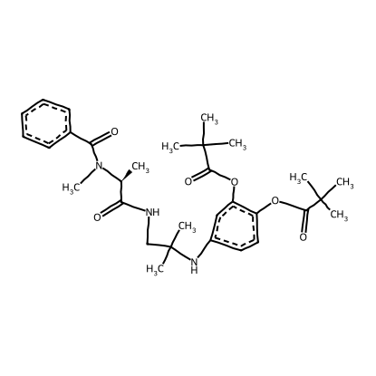 C[C@@H](C(=O)NCC(C)(C)Nc1ccc(OC(=O)C(C)(C)C)c(OC(=O)C(C)(C)C)c1)N(C)C(=O)c1ccccc1